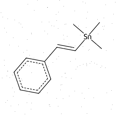 [CH3][Sn]([CH3])([CH3])/[CH]=C/c1ccccc1